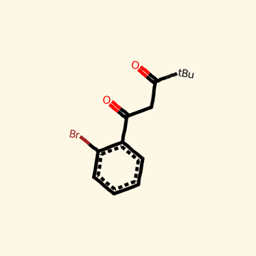 CC(C)(C)C(=O)CC(=O)c1ccccc1Br